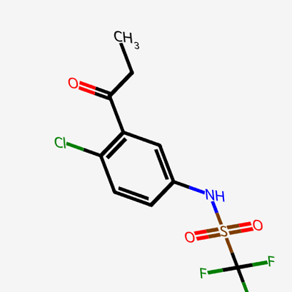 CCC(=O)c1cc(NS(=O)(=O)C(F)(F)F)ccc1Cl